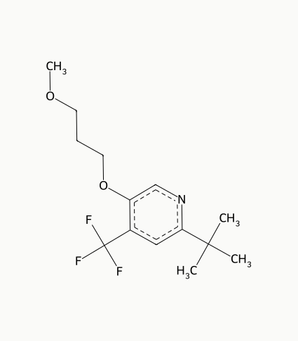 COCCCOc1cnc(C(C)(C)C)cc1C(F)(F)F